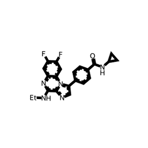 CCNc1nc2cc(F)c(F)cc2n2c(-c3ccc(C(=O)NC4CC4)cc3)cnc12